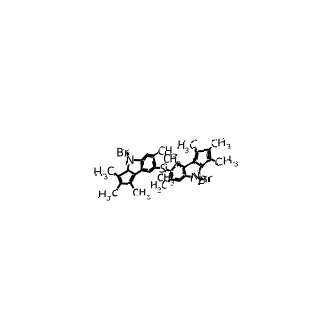 CC1=C(C)C2C(=C1C)c1cc([Si](C)(C)c3cc4c(cc3C)N(Br)C3C(C)=C(C)C(C)=C43)c(C)cc1N2Br